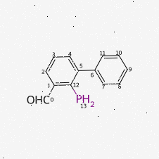 O=Cc1cccc(-c2ccccc2)c1P